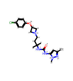 CCc1cc(NC(=O)NC(C)(C)CCN2CC(Oc3ccc(Cl)cc3)C2)n(C)n1